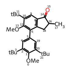 COc1c(C(C)(C)C)cc(-c2c3c(cc(C(C)(C)C)c2OC)C(=O)C(C)C3)cc1C(C)(C)C